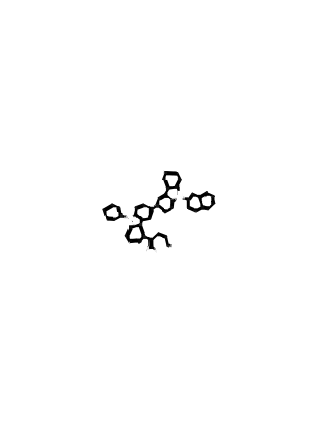 C=C/C=C\c1c(C)sc2ccc3c(c4cc(-c5ccc6c(c5)c5ccccc5n6-c5ccc6ccccc6c5)ccc4n3-c3ccccc3)c12